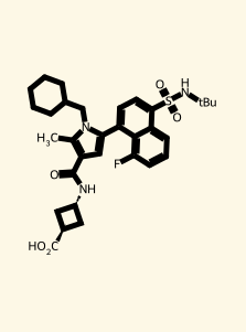 Cc1c(C(=O)N[C@H]2C[C@H](C(=O)O)C2)cc(-c2ccc(S(=O)(=O)NC(C)(C)C)c3cccc(F)c23)n1CC1CCCCC1